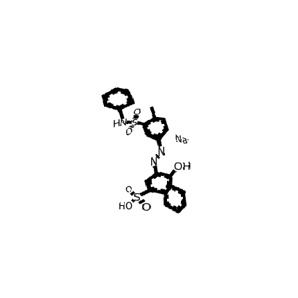 Cc1ccc(N=Nc2cc(S(=O)(=O)O)c3ccccc3c2O)cc1S(=O)(=O)Nc1ccccc1.[Na]